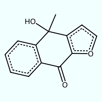 CC1(O)c2ccccc2C(=O)c2occc21